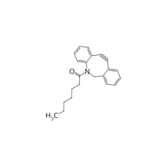 CCCCCCC(=O)N1Cc2ccccc2C#Cc2ccccc21